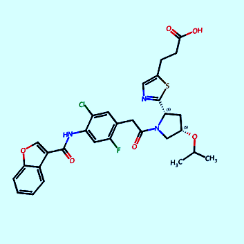 CC(C)O[C@H]1C[C@@H](c2ncc(CCC(=O)O)s2)N(C(=O)Cc2cc(Cl)c(NC(=O)c3coc4ccccc34)cc2F)C1